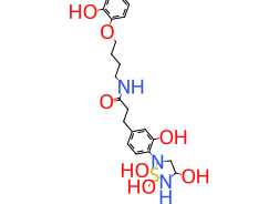 O=C(CCc1ccc(N2CC(O)NS2(O)O)c(O)c1)NCCCCOc1ccccc1O